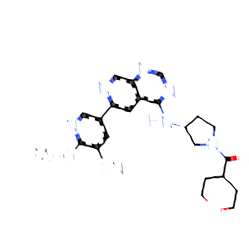 COc1ncc(-c2cc3c(N[C@H]4CCN(C(=O)C5CCOCC5)C4)ncnc3cn2)cc1C#N